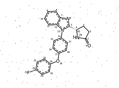 O=C1CC[C@@H](c2nc3ccccc3n2-c2ccc(Oc3ccc(F)cc3)cc2)N1